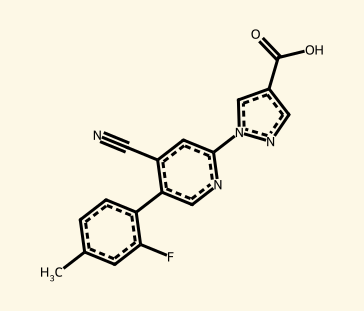 Cc1ccc(-c2cnc(-n3cc(C(=O)O)cn3)cc2C#N)c(F)c1